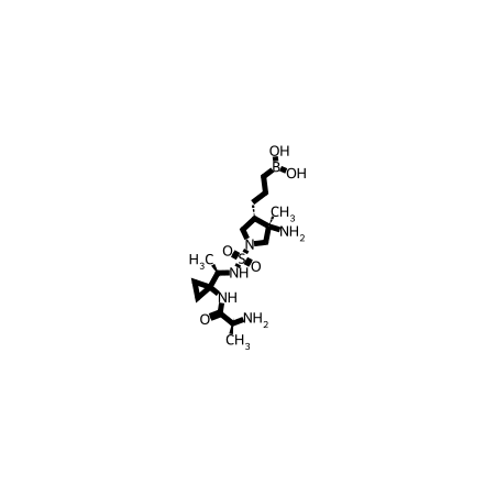 C[C@H](N)C(=O)NC1([C@@H](C)NS(=O)(=O)N2C[C@H](CCCB(O)O)[C@@](C)(N)C2)CC1